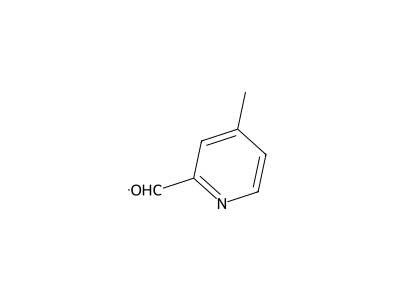 Cc1ccnc([C]=O)c1